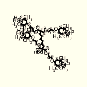 CCCCC(CCCCCCC(CCCC)(C(=O)OCCCOC1CC(C)(C)N(O)C(C)(C)C1)C(=O)OCCCOC1CC(C)(C)N(O)C(C)(C)C1)(COCCCOC1CC(C)(C)N(O)C(C)(C)C1)C(=O)OCCCOC1CC(C)(C)N(O)C(C)(C)C1